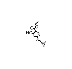 CCOC(=O)c1cnc(N(C)CCN(C)C)nc1O